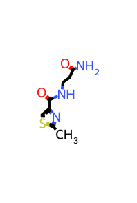 Cc1nc(C(=O)NCCC(N)=O)cs1